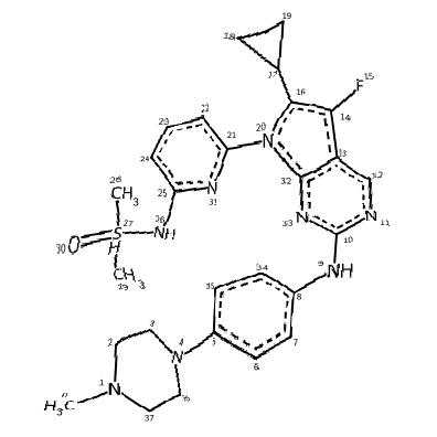 CN1CCN(c2ccc(Nc3ncc4c(F)c(C5CC5)n(-c5cccc(N[SH](C)(C)=O)n5)c4n3)cc2)CC1